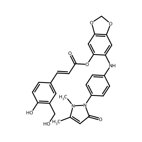 Cc1cc(=O)n(-c2ccc(Nc3cc4c(cc3OC(=O)/C=C/c3ccc(O)c(CO)c3)OCO4)cc2)n1C